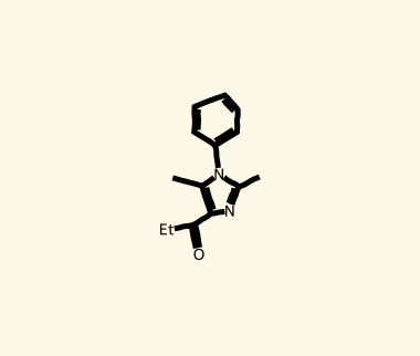 CCC(=O)c1nc(C)n(-c2ccccc2)c1C